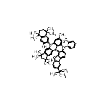 Cc1cc2c3c(c1)N(c1ccccc1C)c1ccc4c(oc5ccc(C(C)(C)C)cc54)c1B3c1cc3c(cc1N2c1cc2c(cc1C)C(C)(C)CCC2(C)C)C(C)(C)CC3(C)C